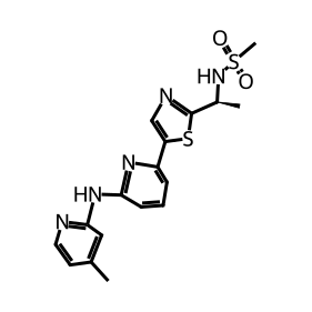 Cc1ccnc(Nc2cccc(-c3cnc([C@H](C)NS(C)(=O)=O)s3)n2)c1